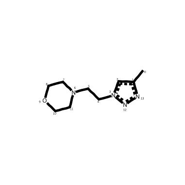 Cc1cn(CCN2CCOCC2)nn1